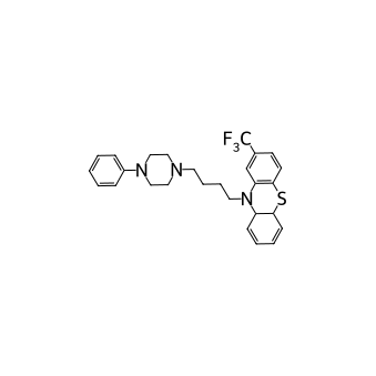 FC(F)(F)c1ccc2c(c1)N(CCCCN1CCN(c3ccccc3)CC1)C1C=CC=CC1S2